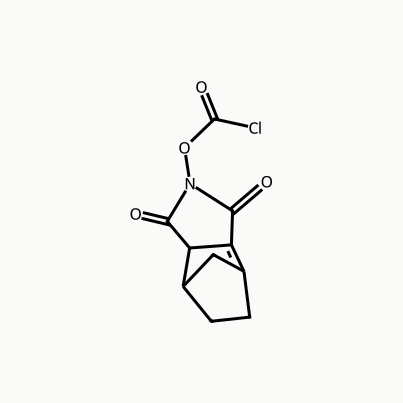 O=C(Cl)ON1C(=O)C2=C3CCC(C3)C2C1=O